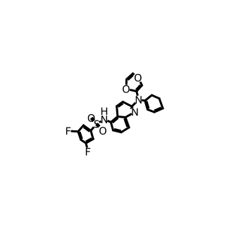 O=S(=O)(Nc1cccc2nc(N(C3=CC=CCC3)C3=COC=CO3)ccc12)c1cc(F)cc(F)c1